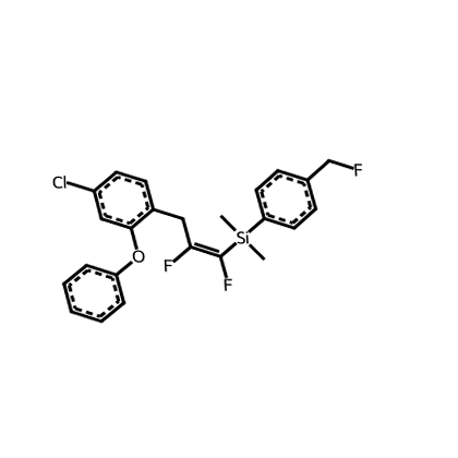 C[Si](C)(C(F)=C(F)Cc1ccc(Cl)cc1Oc1ccccc1)c1ccc(CF)cc1